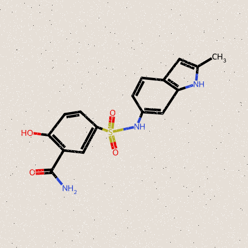 Cc1cc2ccc(NS(=O)(=O)c3ccc(O)c(C(N)=O)c3)cc2[nH]1